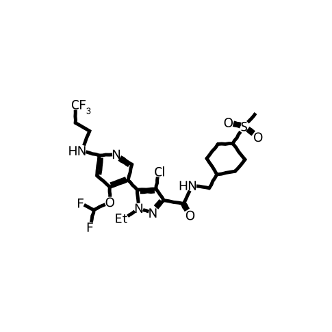 CCn1nc(C(=O)NCC2CCC(S(C)(=O)=O)CC2)c(Cl)c1-c1cnc(NCCC(F)(F)F)cc1OC(F)F